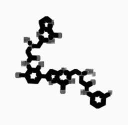 CCN(CC(=O)Nc1c(Cl)ccc(-c2cc3nc(CN(C)CC(=O)Nc4cccc(F)c4)[nH]c(=O)c3s2)c1Cl)Cc1nc2ccsc2c(=O)[nH]1